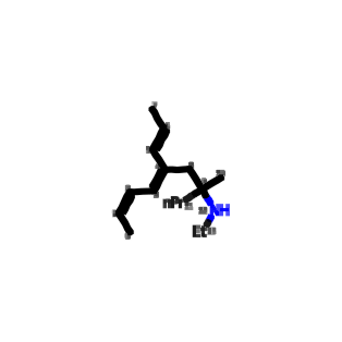 C\C=C/C=C(\C=C\C)CC(C)(CCC)NCC